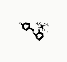 CC(C)(C)Oc1ccccc1N=Cc1ccc(Br)cc1